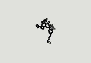 O=C1N[C@@](c2ccc(CCCCC(F)(F)F)cc2F)(C(F)(F)F)CC(c2ccn(C3CCC3)n2)=C1c1nnn[nH]1